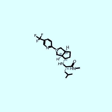 CNC(=O)[C@H](CC(C)C)N[C@H]1CC[C@@H]2CN(c3ccc(C(F)(F)F)cn3)C[C@@H]21